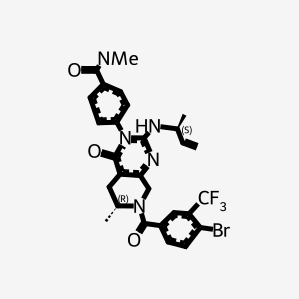 C=C[C@H](C)Nc1nc2c(c(=O)n1-c1ccc(C(=O)NC)cc1)C[C@@H](C)N(C(=O)c1ccc(Br)c(C(F)(F)F)c1)C2